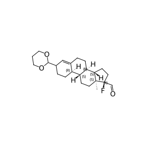 C[C@]12CC[C@H]3[C@@H](CCC4=CC(C5OCCCO5)CC[C@@H]43)[C@@H]1CC[C@]2(F)C=O